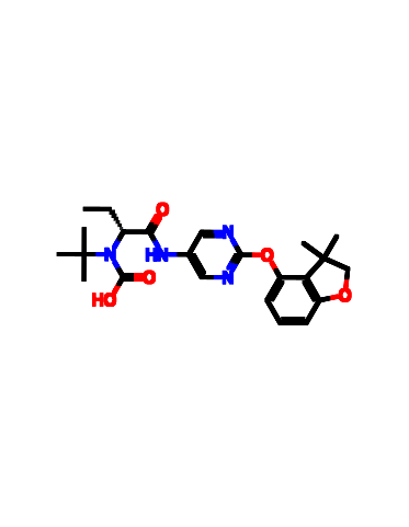 CC[C@H](C(=O)Nc1cnc(Oc2cccc3c2C(C)(C)CO3)nc1)N(C(=O)O)C(C)(C)C